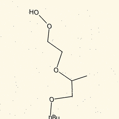 CCCCOCC(C)OCCOO